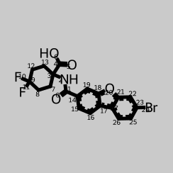 O=C(NC1(C(=O)O)CCC(F)(F)CC1)c1ccc2c(c1)oc1cc(Br)ccc12